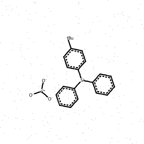 CC(C)(C)c1ccc([S+](c2ccccc2)c2ccccc2)cc1.[O-][I+2]([O-])[O-]